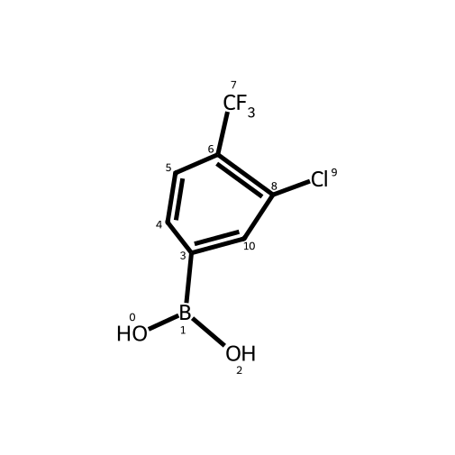 OB(O)c1ccc(C(F)(F)F)c(Cl)c1